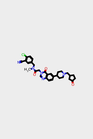 CN(Cc1ccc(Cl)c(C#N)c1)C(=O)Cn1cnc2ccc(C3CCN(CC4CCC(=O)C4)CC3)cc2c1=O